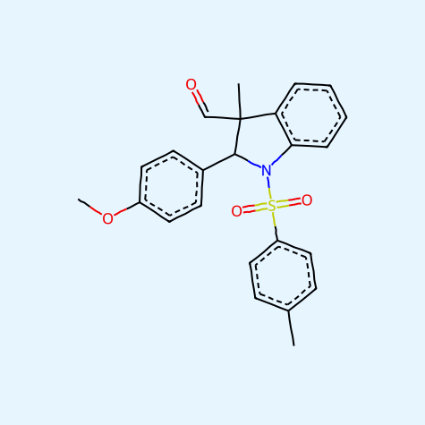 COc1ccc(C2N(S(=O)(=O)c3ccc(C)cc3)c3ccccc3C2(C)C=O)cc1